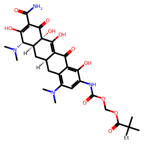 CCC(C)(C)C(=O)OCOC(=O)Nc1cc(N(C)C)c2c(c1O)C(=O)C1=C(O)[C@]3(O)C(=O)C(C(N)=O)=C(O)[C@@H](N(C)C)[C@@H]3C[C@@H]1C2